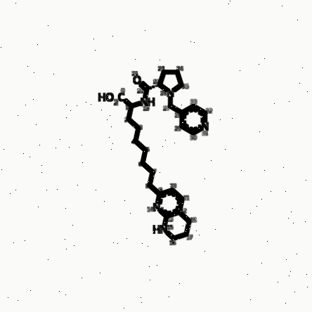 O=C(O)C(CCCCCCCc1ccc2c(n1)NCCC2)NC(=O)[C@@H]1CCCN1Cc1ccncc1